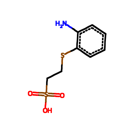 Nc1ccccc1SCCS(=O)(=O)O